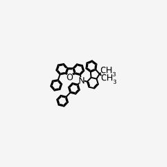 CC1(C)c2ccccc2C2C(N(c3ccc(-c4ccccc4)cc3)c3cccc4c3oc3c(-c5ccccc5)cccc34)=CC=CC21